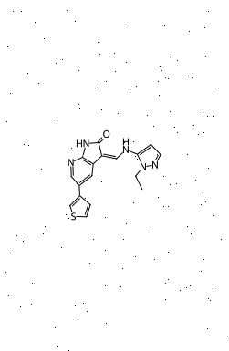 CCn1nccc1NC=C1C(=O)Nc2ncc(-c3ccsc3)cc21